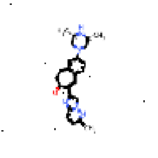 Cc1ccc2nc(C3=Cc4ccc(N5C[C@@H](C)N[C@@H](C)C5)cc4CCC3=O)cn2n1